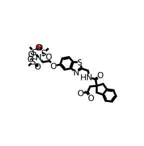 CS(=O)(=O)[N+](CCOc1ccc2sc(CNC(=O)C3(CC(=O)[O-])Cc4ccccc4C3)nc2c1)(S(C)(=O)=O)S(C)(=O)=O